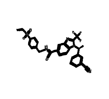 CCS(=O)(=O)c1ccc(CNC(=O)c2ccc3c(c2)nc(C(F)(F)F)n3[C@@H](C)c2cccc(C#N)c2)cc1